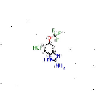 Cl.Nc1nc2cc(OC(F)(F)F)ccc2[nH]1